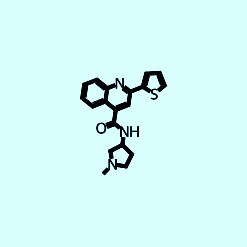 CN1CCC(NC(=O)c2cc(-c3cccs3)nc3ccccc23)C1